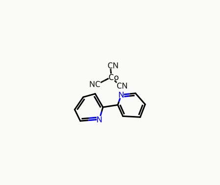 N#[C][Co]([C]#N)[C]#N.c1ccc(-c2ccccn2)nc1